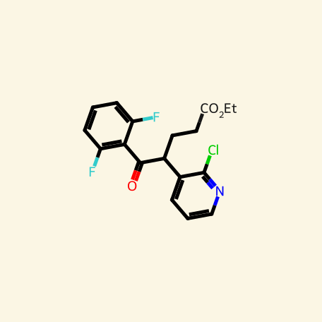 CCOC(=O)CCC(C(=O)c1c(F)cccc1F)c1cccnc1Cl